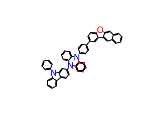 c1ccc(N(c2ccc(-c3ccc4oc5cc6ccccc6cc5c4c3)cc2)c2ccccc2N(c2ccccc2)c2ccc3c4ccccc4n(-c4ccccc4)c3c2)cc1